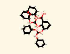 O=C(O)c1cccc(OC(Oc2ccccc2)Oc2ccccc2)c1OC(Oc1ccccc1)Oc1ccccc1